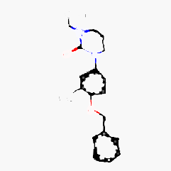 Cc1cc(N2CCCN(CC(=O)O)C2=O)ccc1OCc1ccccc1